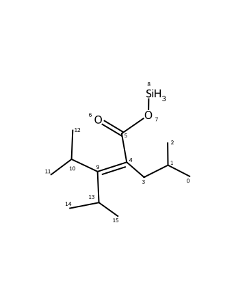 CC(C)CC(C(=O)O[SiH3])=C(C(C)C)C(C)C